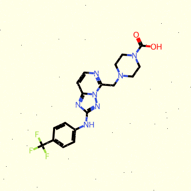 O=C(O)N1CCN(Cc2nccc3nc(Nc4ccc(C(F)(F)F)cc4)nn23)CC1